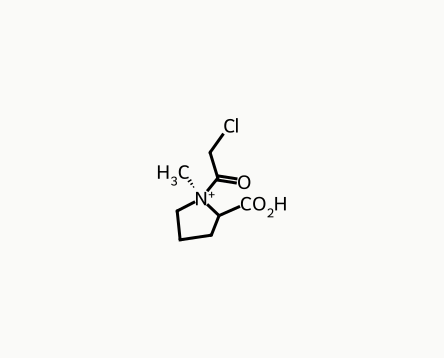 C[N@@+]1(C(=O)CCl)CCCC1C(=O)O